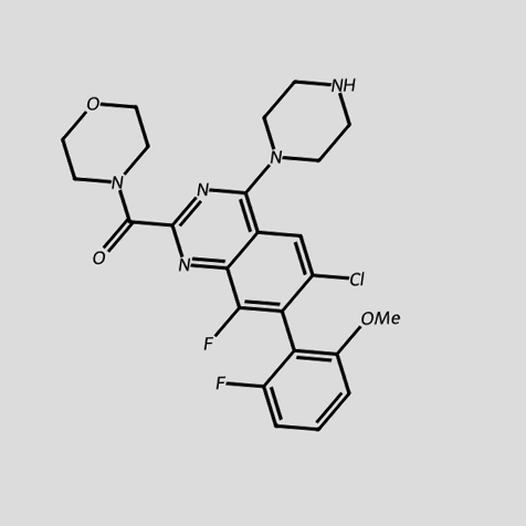 COc1cccc(F)c1-c1c(Cl)cc2c(N3CCNCC3)nc(C(=O)N3CCOCC3)nc2c1F